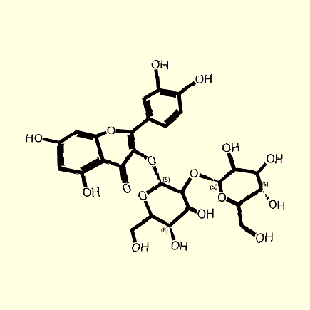 O=c1c(O[C@@H]2OC(CO)[C@H](O)C(O)C2O[C@@H]2OC(CO)[C@@H](O)C(O)C2O)c(-c2ccc(O)c(O)c2)oc2cc(O)cc(O)c12